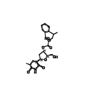 Cc1cn([C@H]2C[C@H](OC(=O)OCC(C)c3ccccc3[N+](=O)[O-])[C@@H](CO)O2)c(=O)[nH]c1=O